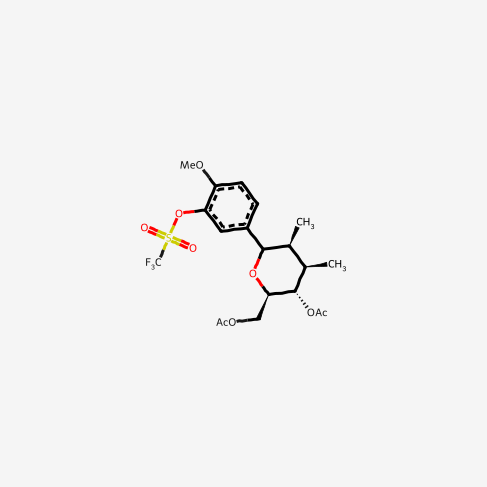 COc1ccc(C2O[C@H](COC(C)=O)[C@@H](OC(C)=O)[C@H](C)[C@@H]2C)cc1OS(=O)(=O)C(F)(F)F